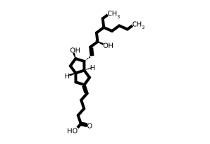 CCCCC(CC)C[C@@H](O)/C=C/[C@@H]1[C@H]2C/C(=C/CCCC(=O)O)C[C@@H]2C[C@H]1O